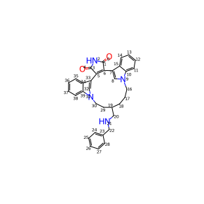 O=C1NC(=O)C2=C1c1cn(c3ccccc13)CCCC(CNCc1ccccc1)CCn1cc2c2ccccc21